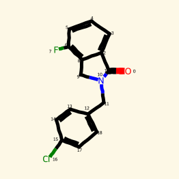 O=C1c2cccc(F)c2CN1Cc1ccc(Cl)cc1